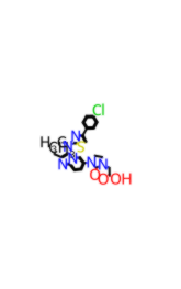 CCc1nc2ccc(N3CCN(CC(=O)O)C3=O)cn2c1N(C)c1nc(-c2ccc(Cl)cc2)cs1